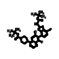 CC(C)(C)OC(=O)Nc1nc2c(-c3c(Cl)cc4c(N5CCN(C(=O)OC(C)(C)C)CC5)ncnc4c3F)ccc(F)c2s1